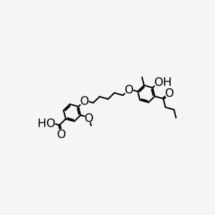 CCCC(=O)c1ccc(OCCCCCOc2ccc(C(=O)O)cc2OC)c(C)c1O